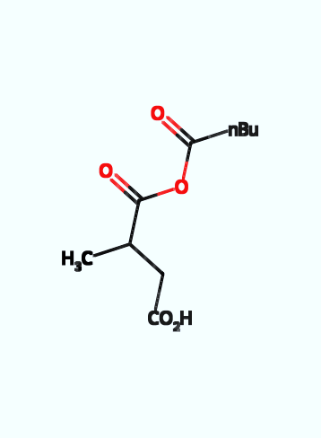 CCCCC(=O)OC(=O)C(C)CC(=O)O